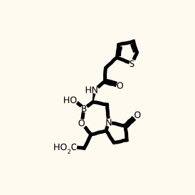 O=C(O)CC1OB(O)[C@@H](NC(=O)Cc2cccs2)CN2C(=O)CCC12